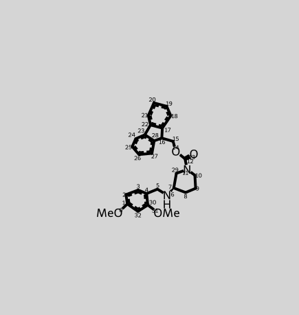 COc1ccc(CN[C@@H]2CCCN(C(=O)OCC3c4ccccc4-c4ccccc43)C2)c(OC)c1